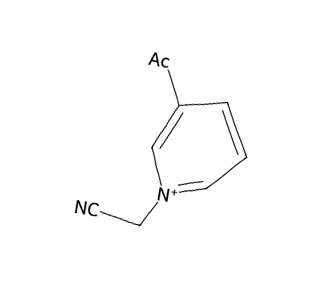 CC(=O)c1ccc[n+](CC#N)c1